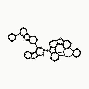 CC1c2c3ccc4sc5ccc6c(c7c(cccc7n6-c6nc(-c7ccc8c(c7)oc7c(-c9ccccc9)cccc78)c7c(n6)sc6ccccc67)C1Cc1ccccc1-3)c5c24